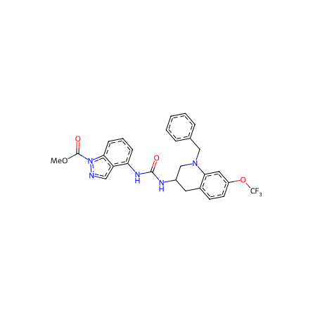 COC(=O)n1ncc2c(NC(=O)NC3Cc4ccc(OC(F)(F)F)cc4N(Cc4ccccc4)C3)cccc21